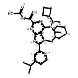 CCN(c1nc(C(=N)NC(=O)O)nc2nc(-c3cc(C(C)C)ccn3)n(CC3CCCCC3)c12)[C@H](C)C1CCC1